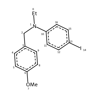 CCN(Cc1ccc(OC)cc1)c1ccc(I)cc1